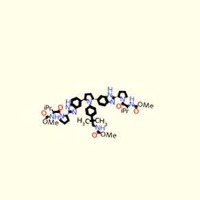 COC(=O)NCC(C)(C)c1ccc(N2[C@@H](c3ccc4[nH]c([C@@H]5CCCN5C(=O)[C@@H](NC(=O)OC)C(C)C)nc4c3)CC[C@@H]2c2ccc3nc([C@@H]4CCCN4C(=O)[C@@H](NC(=O)OC)C(C)C)[nH]c3c2)cc1